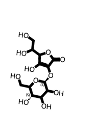 O=C1OC(C(O)CO)C(O)=C1O[C@@H]1OC(CO)[C@@H](O)C(O)C1O